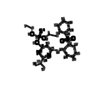 CCOP(=S)(OCC)Oc1cc(C)nc(C(C)C)n1.O=S(=O)(c1ccccc1)c1ccccc1